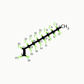 CC(F)(F)C(F)(F)C(F)(F)C(F)(F)C(F)(F)C(F)(F)C(F)(F)C(F)=C(F)F